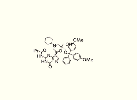 COc1ccc(C(OC[C@@]2(CO)CN(C3CCCCC3)C[C@H](n3cnc4c(=O)[nH]c(NC(=O)C(C)C)nc43)O2)(c2ccccc2)c2ccc(OC)cc2)cc1